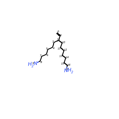 C=CC(CCCCCCN)CCCCCCCN